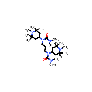 CON(C)C(=O)N(CCCN(C(=O)N(C)OC)C1CC(C)(C)N(C)C(C)(C)C1)C1CC(C)(C)N(C)C(C)(C)C1